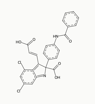 O=C(O)C=CC1=c2c(Cl)cc(Cl)cc2=NC1(C(=O)O)c1ccc(NC(=O)c2ccccc2)cc1